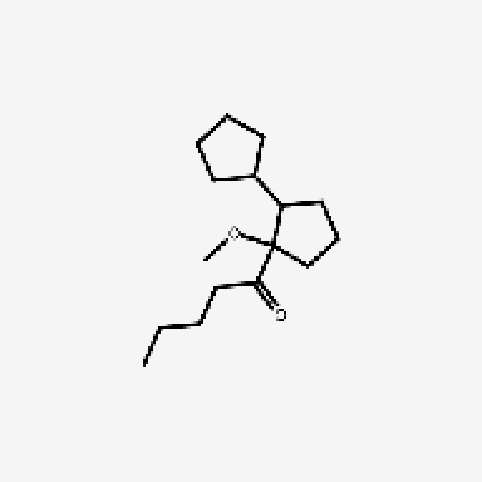 CCCCC(=O)C1(OC)CCCC1C1CCCC1